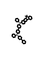 CC1(C)C2=C(c3ccccc31)C1SC2c2cc(N(c3ccccc3)c3ccc(-c4ccc(N(c5ccccc5)c5ccc(-c6ccccc6)cc5)cc4)cc3)ccc21